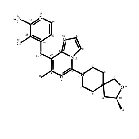 Cc1nc(N2CCC3([CH]O[C@@H](C)[CH]3)CC2)n2ccnc2c1Sc1ccnc(N)c1Cl